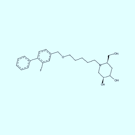 OC[C@H]1CC(O)[C@@H](O)CN1CCCCCOCc1ccc(-c2ccccc2)c(F)c1